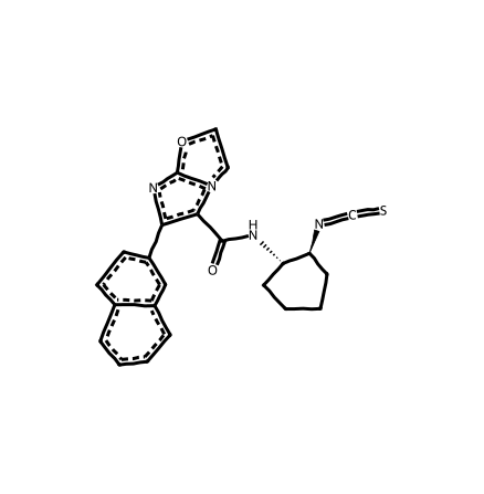 O=C(N[C@H]1CCCC[C@@H]1N=C=S)c1c(-c2ccc3ccccc3c2)nc2occn12